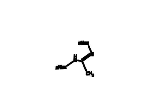 CCCCCCN=C(C)NCCCCCC